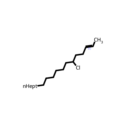 C/C=C/CCC(Cl)CCCCCCCCCCCCC